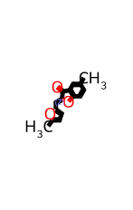 Cc1ccc2c(c1)C(=O)/C(=C/c1ccc(C)o1)O2